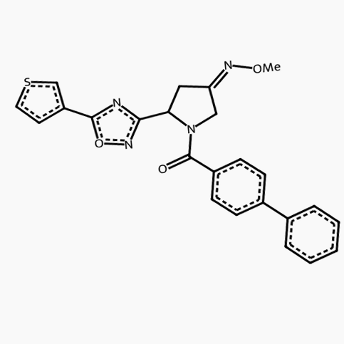 CON=C1CC(c2noc(-c3ccsc3)n2)N(C(=O)c2ccc(-c3ccccc3)cc2)C1